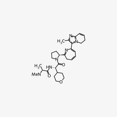 CN[C@@H](C)C(=O)N[C@H](C(=O)N1CCC[C@H]1C1=NC(c2c(C)nc3n2CCC=C3)=CC=CC1)C1CCOCC1